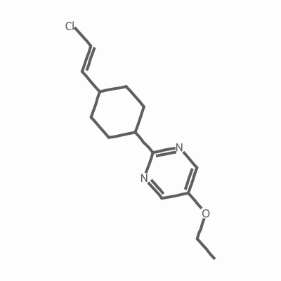 CCOc1cnc(C2CCC(/C=C/Cl)CC2)nc1